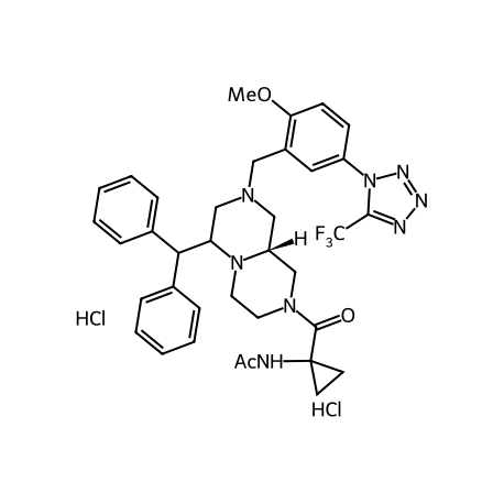 COc1ccc(-n2nnnc2C(F)(F)F)cc1CN1CC(C(c2ccccc2)c2ccccc2)N2CCN(C(=O)C3(NC(C)=O)CC3)C[C@H]2C1.Cl.Cl